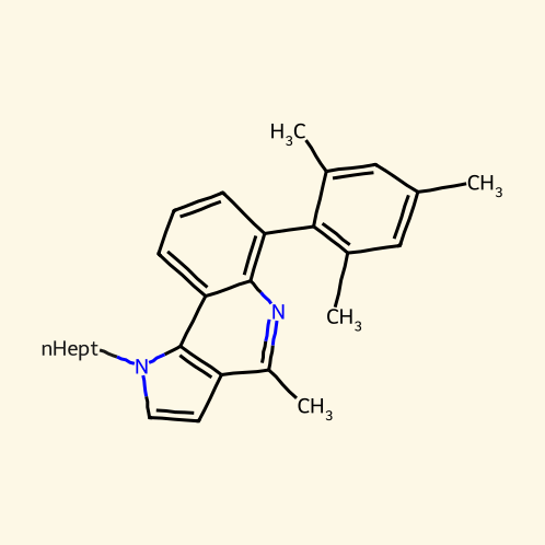 CCCCCCCn1ccc2c(C)nc3c(-c4c(C)cc(C)cc4C)cccc3c21